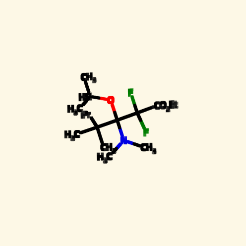 CCOC(=O)C(F)(F)C(O[SiH](C)C)(N(C)C)C(C)(C)C(C)C